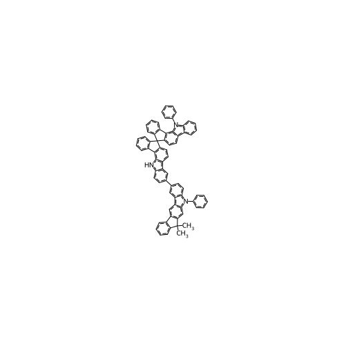 CC1(C)c2ccccc2-c2cc3c4cc(-c5ccc6[nH]c7c8c(ccc7c6c5)C5(c6ccccc6-8)c6ccccc6-c6c5ccc5c7ccccc7n(-c7ccccc7)c65)ccc4n(-c4ccccc4)c3cc21